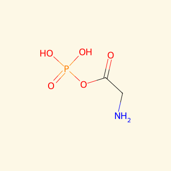 NCC(=O)OP(=O)(O)O